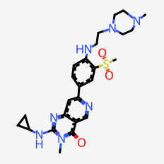 CN1CCN(CCNc2ccc(-c3cc4nc(NC5CC5)n(C)c(=O)c4cn3)cc2S(C)(=O)=O)CC1